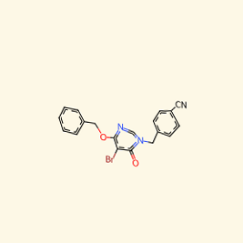 N#Cc1ccc(Cn2cnc(OCc3ccccc3)c(Br)c2=O)cc1